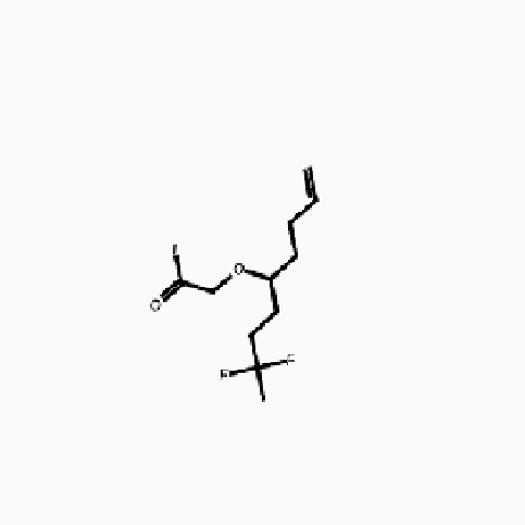 C=CCCC(CCC(C)(F)F)OCC(=O)I